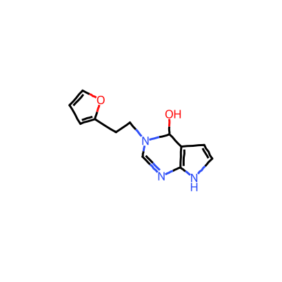 OC1c2cc[nH]c2N=CN1CCc1ccco1